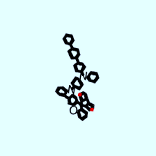 c1ccc(-c2ccc(-c3ccc(N(c4ccccc4)c4ccc(-n5c6ccccc6c6cc7c(cc65)C5(c6ccccc6O7)c6ccccc6-c6ccccc65)cc4)cc3)cc2)cc1